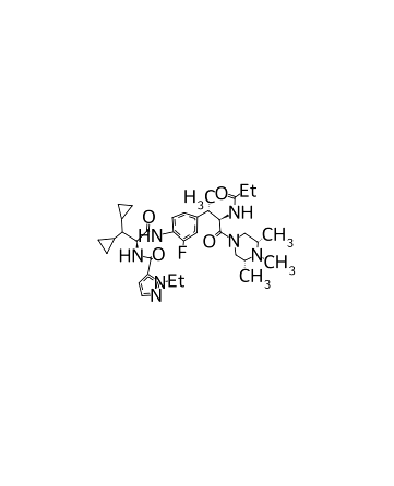 CCC(=O)N[C@@H](C(=O)N1C[C@@H](C)N(C)[C@@H](C)C1)[C@@H](C)c1ccc(NC(=O)[C@@H](NC(=O)c2ccnn2CC)C(C2CC2)C2CC2)c(F)c1